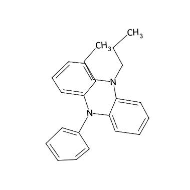 CCCN(CCC)c1ccccc1N(c1ccccc1)c1ccccc1